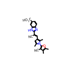 Cc1oc(-n2c(C)cc(C=C(C#N)c3nc4ccc(C(=O)O)cc4[nH]3)c2C)c(C#N)c1C